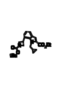 CCOC(=O)c1cc2cccc(C3CN(C(=O)OC(C)(C)C)C3)c2n1CC1CC1